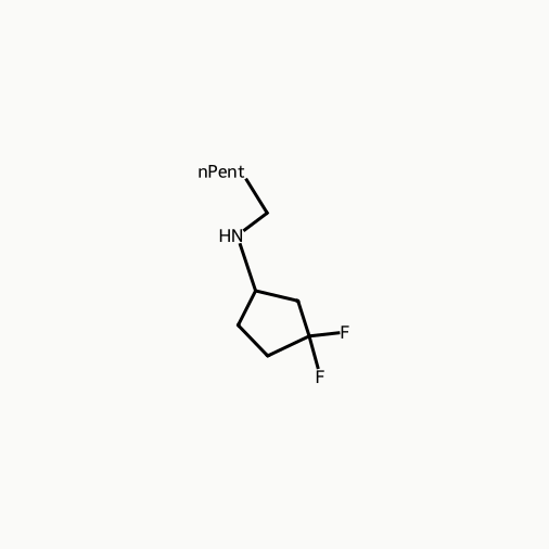 CCCCCCNC1CCC(F)(F)C1